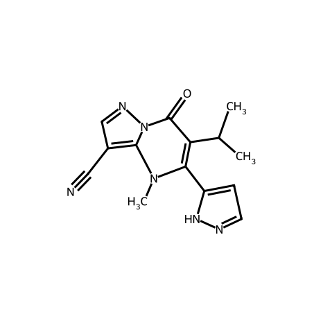 CC(C)c1c(-c2ccn[nH]2)n(C)c2c(C#N)cnn2c1=O